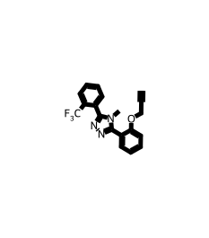 C#CCOc1ccccc1-c1nnc(-c2ccccc2C(F)(F)F)n1C